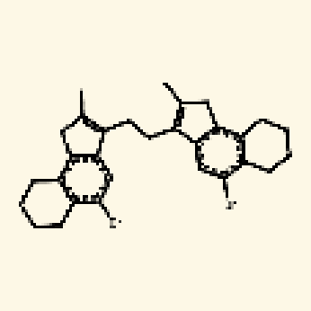 CC1=C(CCC2=C(C)Cc3c2cc(Br)c2c3CCCC2)c2cc(Br)c3c(c2C1)CCCC3